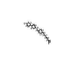 Cc1ccc(-c2ccc(CCC3CCC(CCCC=CCCF)CC3)cc2)cc1